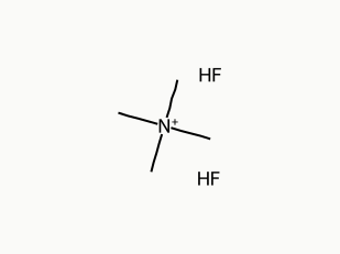 C[N+](C)(C)C.F.F